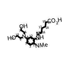 CNc1ccc(N(CCO)CCO)cc1N/N=C/CCCC(=O)O